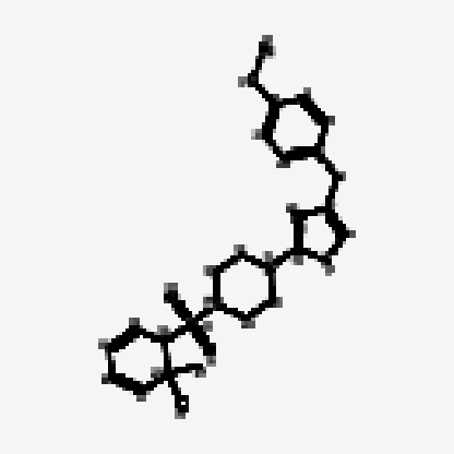 CCOc1ccc(Cc2csc(N3CCN(S(=O)(=O)C4C=CC=CC4(C)Cl)CC3)n2)cc1